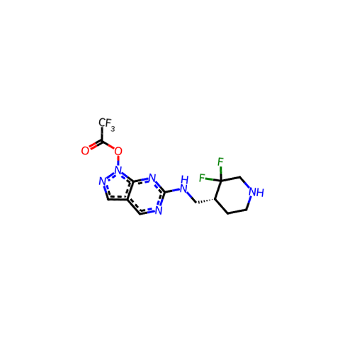 O=C(On1ncc2cnc(NC[C@H]3CCNCC3(F)F)nc21)C(F)(F)F